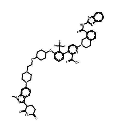 Cn1nc(C2CCC(=O)NC2=O)c2ccc(N3CCN(CCOC4CCC(Oc5cccc(-c6ccc(N7CCc8cccc(C(=O)Nc9nc%10ccccc%10s9)c8C7)nc6C(=O)O)c5C(F)(F)F)CC4)CC3)cc21